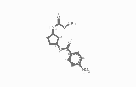 CC(C)(C)OC(=O)NC1CCC(OC(=O)c2ccc([N+](=O)[O-])cc2)C1